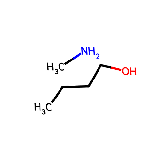 CCCCO.CN